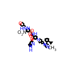 CN1CCN(C2CC3(CCN(c4ccc(C(=O)NS(=O)(=O)c5cnc(NCC6CCOCC6)c([N+](=O)[O-])c5)c(Oc5cnc6[nH]ccc6c5)c4)CC3)C2)C(c2ccccc2C2CC2)C1